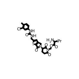 Cc1ccc(NC(=O)NCc2cc3c(s2)C(=O)N(C2CCC(=O)N(COC(=O)C(N)C(C)C)C2=O)C3)cc1Cl